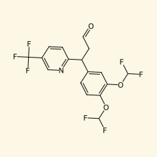 O=CCC(c1ccc(OC(F)F)c(OC(F)F)c1)c1ccc(C(F)(F)F)cn1